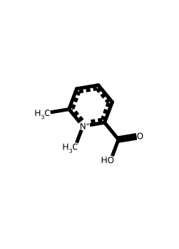 Cc1cccc(C(=O)O)[n+]1C